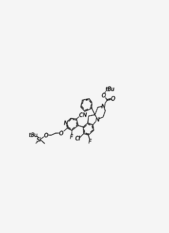 CC(C)(C)OC(=O)N1CCN2c3cc(F)c(Cl)c(-c4c(C#N)cnc(OCCO[Si](C)(C)C(C)(C)C)c4F)c3CC2(c2ccccc2)C1